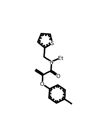 C=C(Oc1ccc(C)cc1)C(=O)N(CC)Cc1cccs1